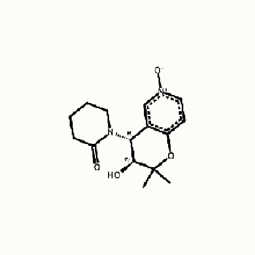 CC1(C)Oc2cc[n+]([O-])cc2[C@@H](N2CCCCC2=O)[C@@H]1O